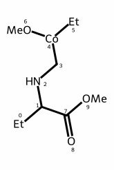 CCC(N[CH2][Co]([CH2]C)[O]C)C(=O)OC